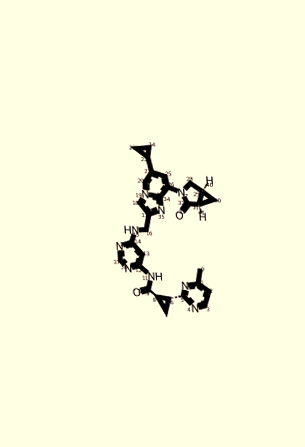 Cc1ccnc([C@@H]2C[C@H]2C(=O)Nc2cc(NCc3cn4cc(C5CC5)cc(N5C[C@H]6C[C@H]6C5=O)c4n3)ncn2)n1